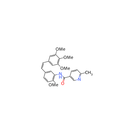 COc1ccc(/C=C\c2cc(OC)c(OC)c(OC)c2)cc1NC(=O)c1ccc(C)nc1